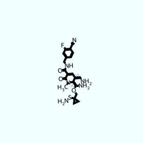 Cn1c(=O)c(C(=O)NCc2ccc(C#N)c(F)c2)cc(=C/N)/c1=C(\N)OCC1(SN)CC1